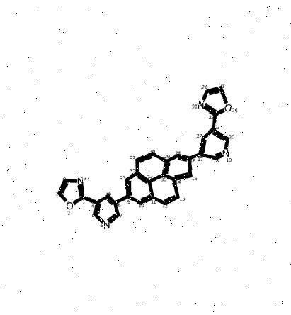 c1coc(-c2cncc(-c3cc4ccc5cc(-c6cncc(-c7ncco7)c6)cc6ccc(c3)c4c56)c2)n1